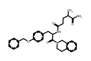 CC(C[CH]C(=O)NC(Cc1ccc(OCc2ccccc2)cc1)C(=O)N1CCc2ccccc2C1)C(N)=O